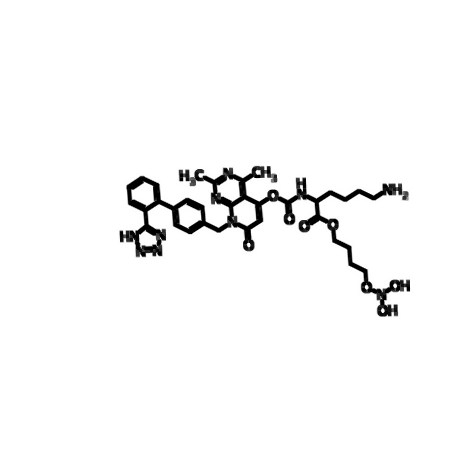 Cc1nc(C)c2c(OC(=O)NC(CCCCN)C(=O)OCCCCON(O)O)cc(=O)n(Cc3ccc(-c4ccccc4-c4nnn[nH]4)cc3)c2n1